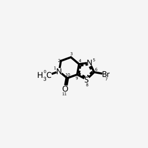 CN1CCc2nc(Br)sc2C1=O